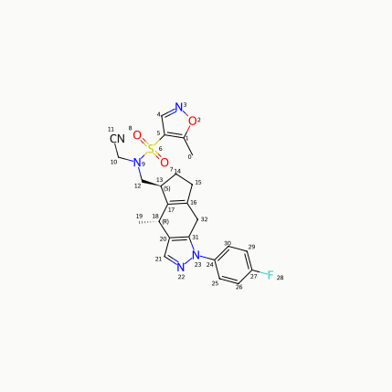 Cc1oncc1S(=O)(=O)N(CC#N)C[C@H]1CCC2=C1[C@@H](C)c1cnn(-c3ccc(F)cc3)c1C2